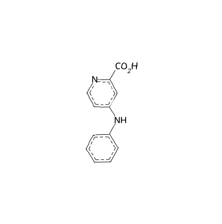 O=C(O)c1cc(Nc2ccccc2)ccn1